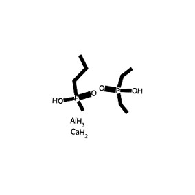 CCCP(C)(=O)O.CCP(=O)(O)CC.[AlH3].[CaH2]